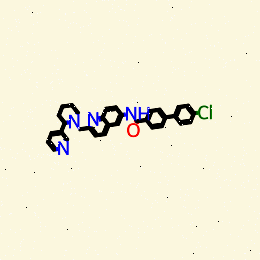 O=C(Nc1ccc2nc(CN3CCCCC3c3cccnc3)ccc2c1)c1ccc(-c2ccc(Cl)cc2)cc1